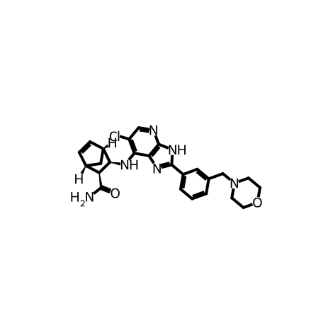 NC(=O)[C@@H]1[C@H](Nc2c(Cl)cnc3[nH]c(-c4cccc(CN5CCOCC5)c4)nc23)[C@H]2C=C[C@@H]1C2